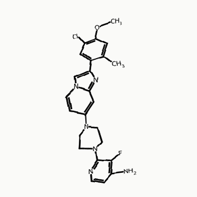 COc1cc(C)c(-c2cn3ccc(N4CCN(c5nccc(N)c5F)CC4)cc3n2)cc1Cl